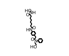 O=C(CCCCCCC(=O)Nc1ccc(CC(=O)N(CCO)c2ccccc2)cc1)NO